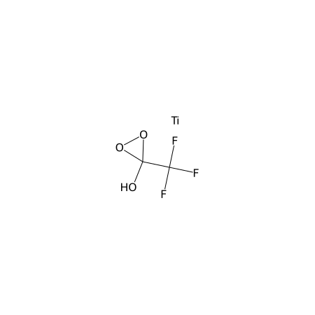 OC1(C(F)(F)F)OO1.[Ti]